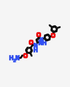 Cc1cc(C)cc(Oc2ccc(-n3[nH]c(NC(=O)c4ccc(OCCN)c(C)c4)cc3=O)cc2)c1